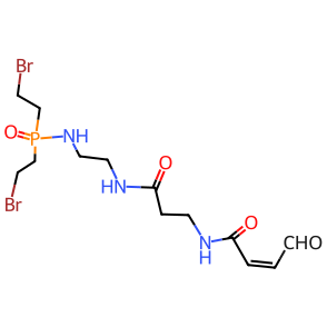 O=C/C=C\C(=O)NCCC(=O)NCCNP(=O)(CCBr)CCBr